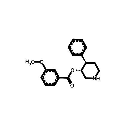 COc1cccc(C(=O)O[C@H]2CNCC[C@@H]2c2ccccc2)c1